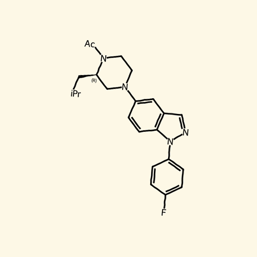 CC(=O)N1CCN(c2ccc3c(cnn3-c3ccc(F)cc3)c2)C[C@H]1CC(C)C